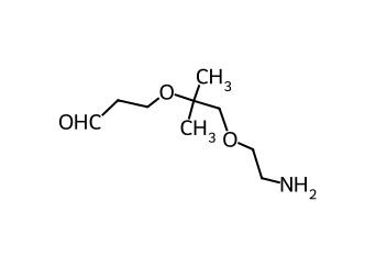 CC(C)(COCCN)OCCC=O